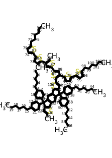 CCCCCCc1ccc(C2(c3ccc(CCCCCC)cc3)c3cc4c(cc3-c3sc(C)cc32)C(c2ccc(CCCCCC)cc2)(c2ccc(CCCCCC)cc2)c2cc(-c3sc(-c5cc(-c6ccc(-c7ccc(CCCCCC)s7)s6)c(C)s5)cc3-c3ccc(-c5ccc(CCCCCC)s5)s3)sc2-4)cc1